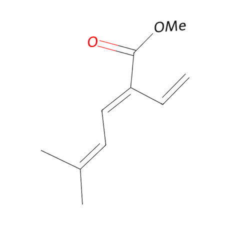 C=C/C(=C\C=C(C)C)C(=O)OC